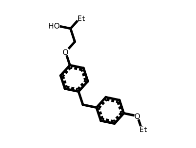 CCOc1ccc(Cc2ccc(OCC(O)CC)cc2)cc1